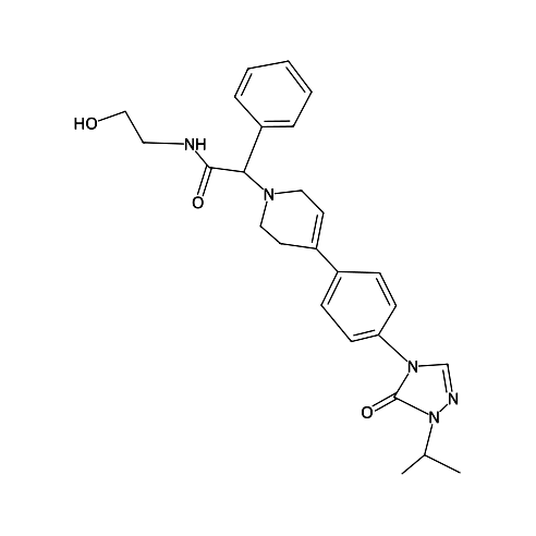 CC(C)n1ncn(-c2ccc(C3=CCN(C(C(=O)NCCO)c4ccccc4)CC3)cc2)c1=O